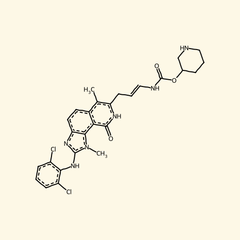 Cc1c(CC=CNC(=O)OC2CCCNC2)[nH]c(=O)c2c1ccc1nc(Nc3c(Cl)cccc3Cl)n(C)c12